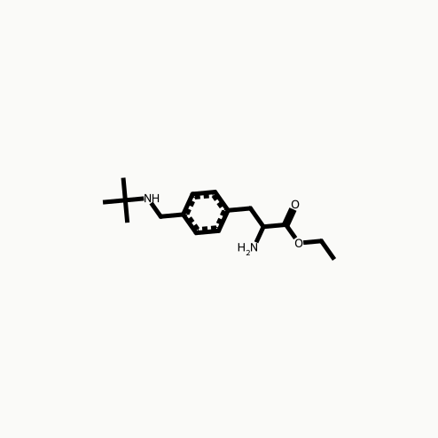 CCOC(=O)C(N)Cc1ccc(CNC(C)(C)C)cc1